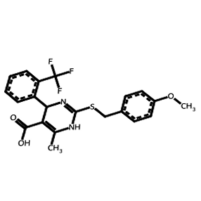 COc1ccc(CSC2=NC(c3ccccc3C(F)(F)F)C(C(=O)O)=C(C)N2)cc1